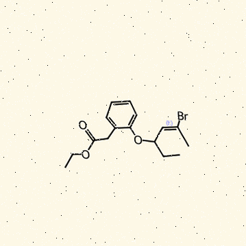 CCOC(=O)Cc1ccccc1OC(/C=C(\C)Br)CC